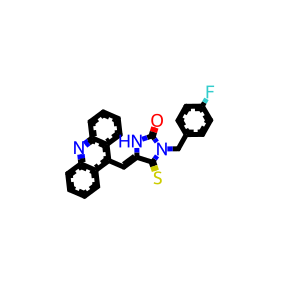 O=C1NC(=Cc2c3ccccc3nc3ccccc23)C(=S)N1Cc1ccc(F)cc1